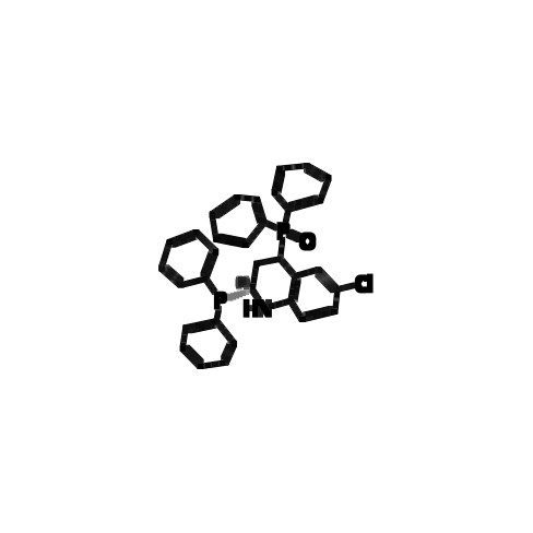 O=P(c1ccccc1)(c1ccccc1)C1C[C@@H](P(c2ccccc2)c2ccccc2)Nc2ccc(Cl)cc21